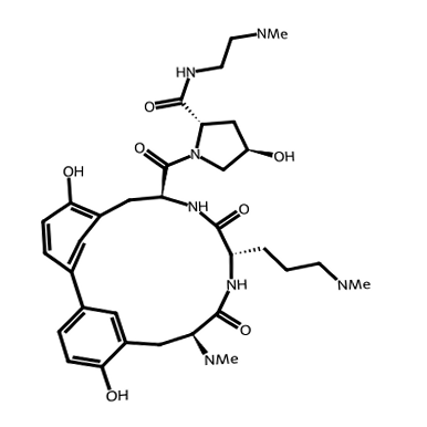 CNCCC[C@@H]1NC(=O)[C@@H](NC)Cc2cc(ccc2O)-c2ccc(O)c(c2)C[C@@H](C(=O)N2C[C@H](O)C[C@H]2C(=O)NCCNC)NC1=O